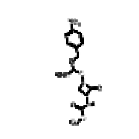 CC(C)(C)OC(=O)N[C@H]1CN(OC(C=O)OCc2ccc([N+](=O)[O-])cc2)C1=O